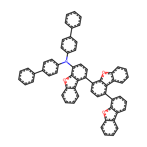 c1ccc(-c2ccc(N(c3ccc(-c4ccccc4)cc3)c3ccc(-c4ccc(-c5cccc6c5oc5ccccc56)c5c4oc4ccccc45)c4c3oc3ccccc34)cc2)cc1